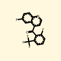 O=C(c1c(F)cccc1C(F)(F)F)c1ccnc2ccc(F)cc12